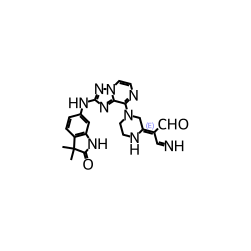 CC1(C)C(=O)Nc2cc(Nc3nc4c(N5CCN/C(=C(\C=N)C=O)C5)nccn4n3)ccc21